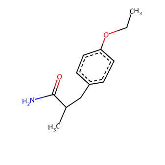 CCOc1ccc(CC(C)C(N)=O)cc1